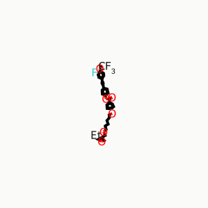 CCC1(COCCCCCCOc2ccc(C(=O)Oc3ccc(C#Cc4ccc(OC(F)(F)F)c(F)c4)cc3)cc2)COC1